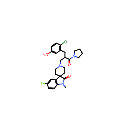 CN1C(=O)C2(CCN(CC(Cc3cc(O)ccc3Cl)C(=O)N3CCCC3)CC2)c2cc(F)ccc21